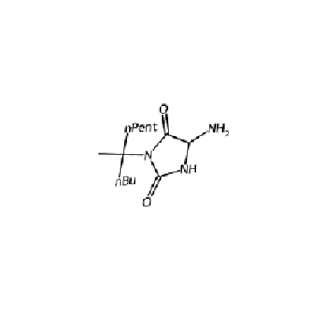 CCCCCC(C)(CCCC)N1C(=O)NC(N)C1=O